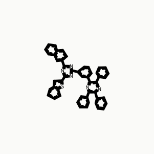 c1ccc(-c2nc(-c3ccccc3)c(-c3cccc(-c4nc(-c5ccc6ccccc6c5)nc(-c5cc6ccccc6s5)n4)c3)nc2-c2ccccc2)cc1